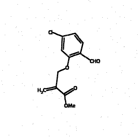 C=C(COc1cc(Cl)ccc1C=O)C(=O)OC